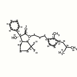 Cc1n(CCCOC(=O)[C@](O)(c2ccccc2)[C@@H]2CCCC(F)(F)C2)cc[n+]1CC(C)C